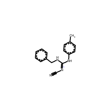 Cc1ccc(N/C(=N/C#N)NCc2ccccc2)cc1